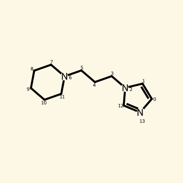 c1cn(CCCN2CCCCC2)cn1